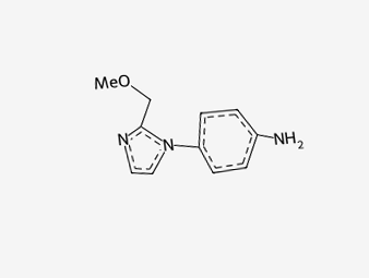 COCc1nccn1-c1ccc(N)cc1